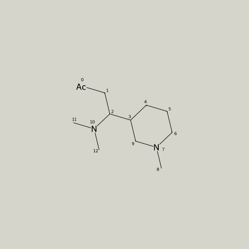 CC(=O)CC(C1CCCN(C)C1)N(C)C